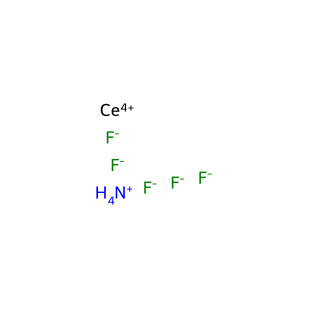 [Ce+4].[F-].[F-].[F-].[F-].[F-].[NH4+]